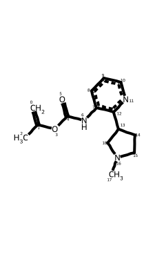 C=C(C)OC(=O)Nc1cccnc1C1CCN(C)C1